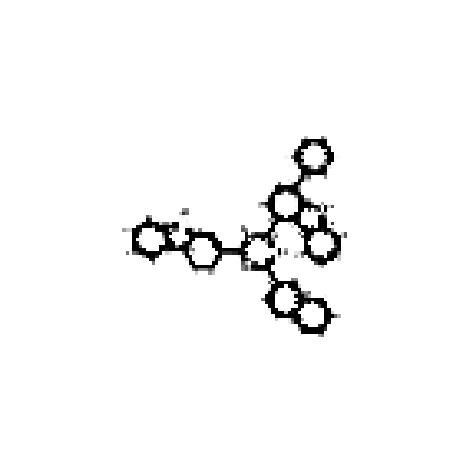 C1=C(c2nc(-c3ccc4ccccc4c3)nc(-c3ccc(-c4ccccc4)c4oc5ccccc5c34)n2)CCc2c1oc1ccccc21